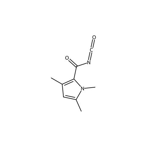 Cc1cc(C)n(C)c1C(=O)N=C=O